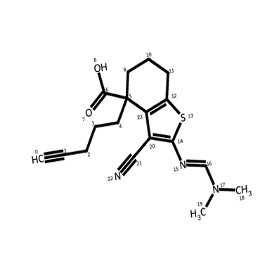 C#CCCCC1(C(=O)O)CCCc2sc(/N=C/N(C)C)c(C#N)c21